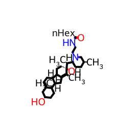 CCCCCCC(=O)NCCN1C[C@@H](C)C[C@H]2O[C@]3(CC[C@@H]4C(=C3C)C[C@H]3[C@H]4CC=C4C[C@@H](O)CC[C@@]43C)[C@H](C)[C@@H]21